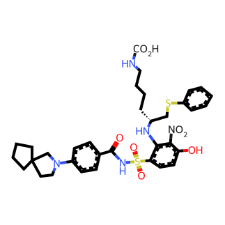 O=C(O)NCCCC[C@H](CSc1ccccc1)Nc1c(S(=O)(=O)NC(=O)c2ccc(N3CCC4(CCCC4)C3)cc2)ccc(O)c1[N+](=O)[O-]